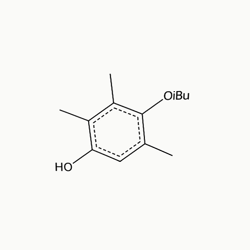 Cc1cc(O)c(C)c(C)c1OCC(C)C